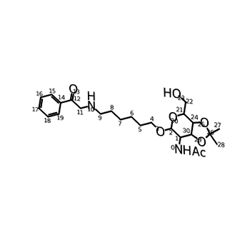 CC(=O)NC1C(OCCCCCCNCC(=O)c2ccccc2)OC(CO)C2OC(C)(C)OC12